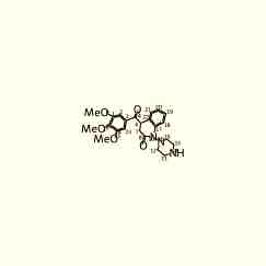 COc1cc(C(=O)C2CC(=O)N(N3CCNCC3)c3ccccc32)cc(OC)c1OC